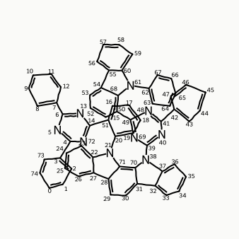 c1ccc(-c2nc(-c3ccccc3)nc(-c3ccccc3-n3c4ccccc4c4ccc5c6ccccc6n(-c6nc(-c7ccccc7)nc(-c7cccc8c9ccccc9n(-c9ccccc9)c78)n6)c5c43)n2)cc1